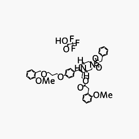 COc1ccccc1COCCCOc1ccc(C2=C(COC(=O)Cc3ccccc3OC)[C@H]3CN(S(=O)(=O)Cc4ccccc4)C[C@@H](C2)N3)cc1.O=C(O)C(F)(F)F